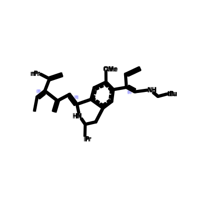 C=C/C(=C\NCC(C)(C)C)c1cc2c(cc1OC)/C(=C/C(=C)/C(=C\C)C(=C)CCC)NC(C(C)C)C2